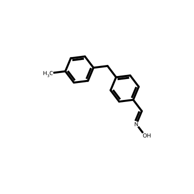 Cc1ccc(Cc2ccc(C=NO)cc2)cc1